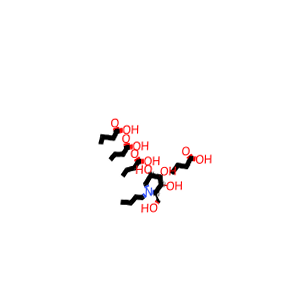 CCCC(=O)O.CCCC(=O)O.CCCC(=O)O.CCCC(=O)O.CCCCN1C[C@H](O)[C@@H](O)[C@H](O)[C@H]1CO